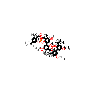 COc1cc(-c2cc(OC)cc(C(C)(C)C)c2Op2oc3c(C(C)(C)C)cc(OC)cc3c3cc(OC)cc(C(C)(C)C)c3o2)c(OP2OC(=O)C(C)c3ccc(C(C)C)cc3O2)c(C(C)(C)C)c1